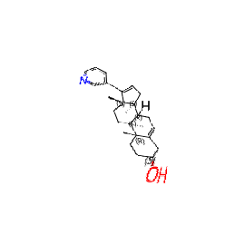 C[C@]12CC[C@H](O)CC1=CC[C@@H]1[C@]2(C)CC[C@]2(C)C(c3cccnc3)=CC[C@@]12C